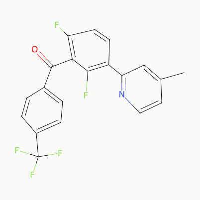 Cc1ccnc(-c2ccc(F)c(C(=O)c3ccc(C(F)(F)F)cc3)c2F)c1